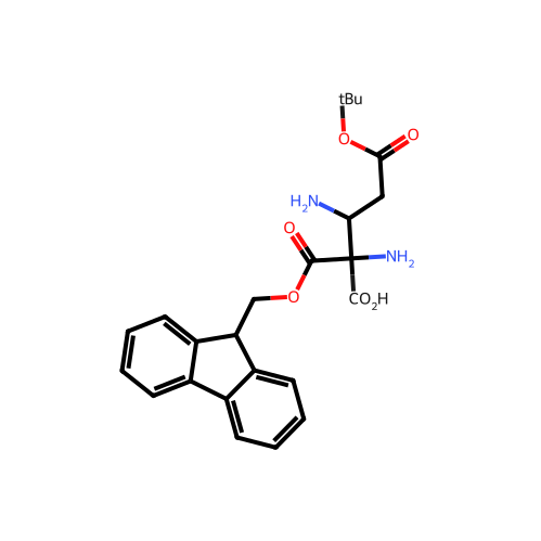 CC(C)(C)OC(=O)CC(N)C(N)(C(=O)O)C(=O)OCC1c2ccccc2-c2ccccc21